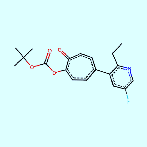 CCc1ncc(F)cc1-c1ccc(OC(=O)OC(C)(C)C)c(=O)cc1